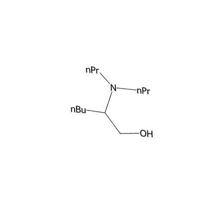 CCCCC(CO)N(CCC)CCC